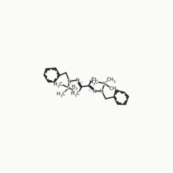 CCC(=N\N(Cc1ccccc1)[Si](C)(C)C)/C(C)=N/N(Cc1ccccc1)[Si](C)(C)C